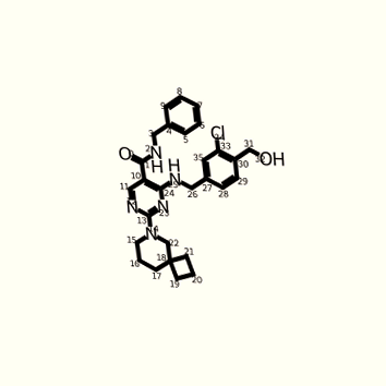 O=C(NCc1ccccc1)c1cnc(N2CCCC3(CCC3)C2)nc1NCc1ccc(CO)c(Cl)c1